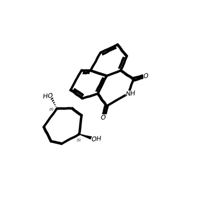 O=C1NC(=O)c2cccc3cccc1c23.O[C@H]1CCC[C@H](O)CC1